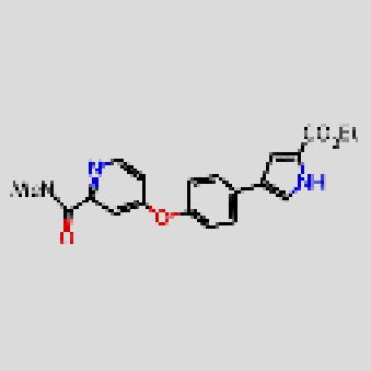 CCOC(=O)c1cc(-c2ccc(Oc3ccnc(C(=O)NC)c3)cc2)c[nH]1